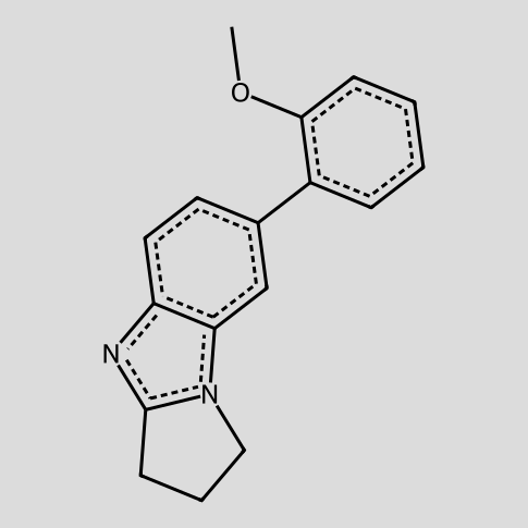 COc1ccccc1-c1ccc2nc3n(c2c1)CCC3